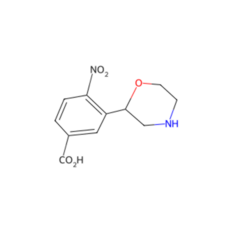 O=C(O)c1ccc([N+](=O)[O-])c(C2CNCCO2)c1